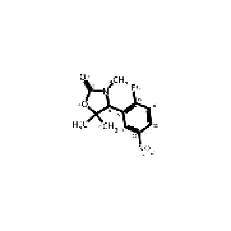 CN1C(=O)OC(C)(C)C1c1cc([N+](=O)[O-])ccc1F